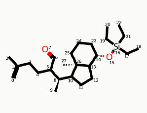 C=C(C)CCC(C=O)[C@H](C)C1CCC2[C@@H](O[Si](CC)(CC)CC)CCC[C@]12C